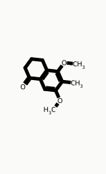 COc1cc2c(c(OC)c1C)CCCC2=O